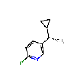 C[C@H](c1ccc(F)nc1)C1CC1